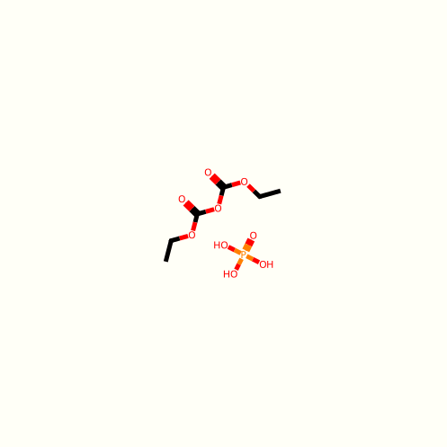 CCOC(=O)OC(=O)OCC.O=P(O)(O)O